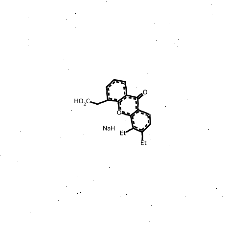 CCc1ccc2c(=O)c3cccc(CC(=O)O)c3oc2c1CC.[NaH]